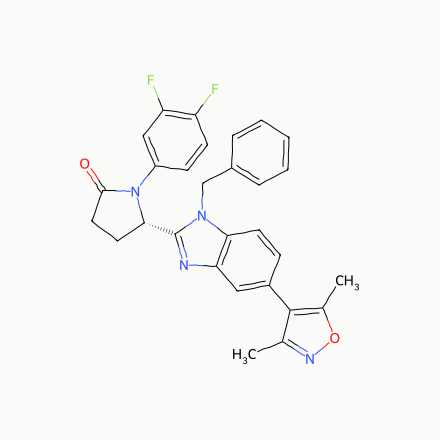 Cc1noc(C)c1-c1ccc2c(c1)nc([C@@H]1CCC(=O)N1c1ccc(F)c(F)c1)n2Cc1ccccc1